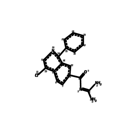 NC(N)=NC(=O)c1ccc2c(Cl)cnc(-c3ccccc3)c2c1